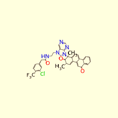 CC1C=c2c(ccc3c2=CC(=O)c2ccccc2-3)C(C)(N2CN(CCNC(=O)Cc3ccc(C(F)(F)F)c(Cl)c3)c3cncnc32)C1=O